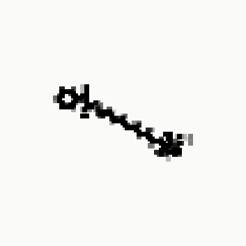 O=C(NC1CCCCC1)OCCCCCCCCCCC(F)(F)S(=O)(=O)O